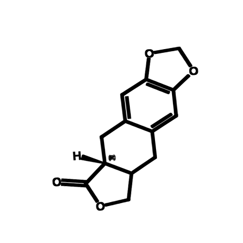 O=C1OCC2Cc3cc4c(cc3C[C@@H]12)OCO4